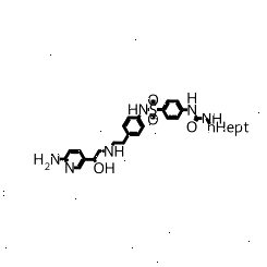 CCCCCCCNC(=O)Nc1ccc(S(=O)(=O)Nc2ccc(CCNCC(O)c3ccc(N)nc3)cc2)cc1